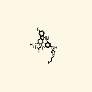 C[C@H]1Cc2c([nH]c3ccc(F)cc23)[C@H](c2c(F)cc(NC3CN(CCCF)C3)cc2F)N1CC(F)F